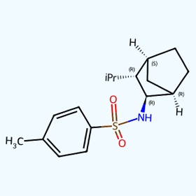 Cc1ccc(S(=O)(=O)N[C@@H]2[C@@H]3CC[C@@H](C3)[C@H]2C(C)C)cc1